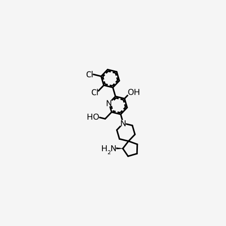 N[C@@H]1CCCC12CCN(c1cc(O)c(-c3cccc(Cl)c3Cl)nc1CO)CC2